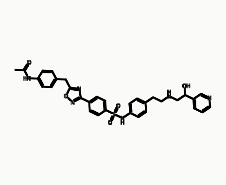 CC(=O)Nc1ccc(Cc2nc(-c3ccc(S(=O)(=O)Nc4ccc(CCNCC(O)c5cccnc5)cc4)cc3)no2)cc1